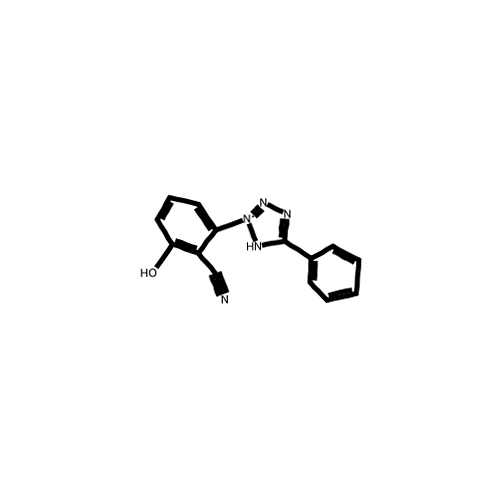 N#Cc1c(O)cccc1-[n+]1nnc(-c2ccccc2)[nH]1